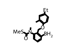 Bc1cccc(N(C)C(=O)SC)c1COc1ccc(CC)cc1C